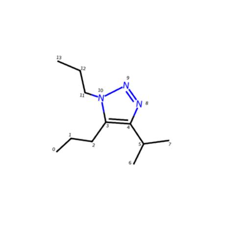 CCCc1c(C(C)C)nnn1CCC